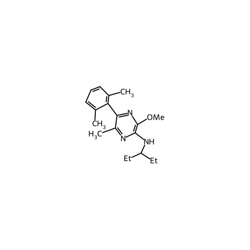 CCC(CC)Nc1nc(C)c(-c2c(C)cccc2C)nc1OC